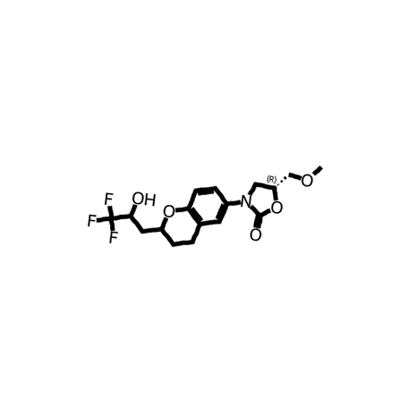 COC[C@H]1CN(c2ccc3c(c2)CCC(CC(O)C(F)(F)F)O3)C(=O)O1